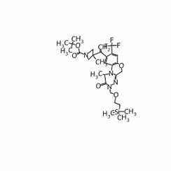 C=C(c1cc2c(cc1C(F)(F)F)OCC1=NN(COCC[Si](C)(C)C)C(=O)C(C)N12)C1(C)CN(C(=O)OC(C)(C)C)C1